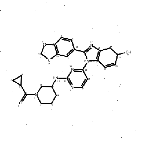 O=C(C1CC1)N1CCCC(Nc2nccc(-n3c(-c4ccc5c(c4)OCO5)nc4c3C=CC(O)C4)n2)C1